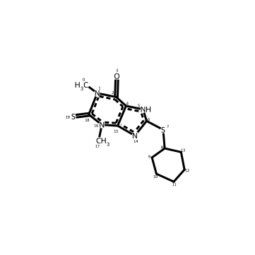 Cn1c(=O)c2[nH]c(SC3CCCCC3)nc2n(C)c1=S